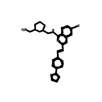 NCC1CCCC(CNc2nc(/C=C/c3ccc(-c4cccs4)cc3)nc3cc(Cl)ccc23)C1